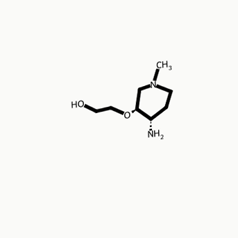 CN1CC[C@H](N)[C@H](OCCO)C1